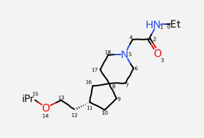 CCNC(=O)CN1CCC2(CC[C@H](CCOC(C)C)C2)CC1